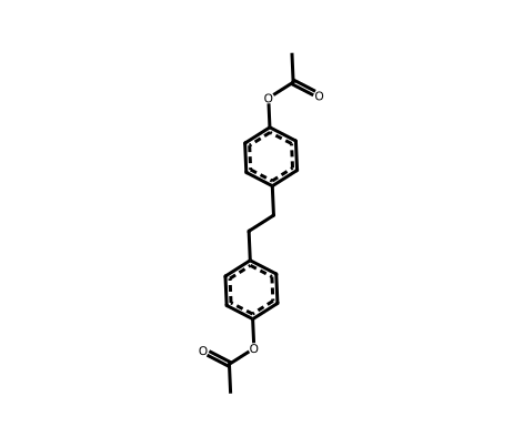 CC(=O)Oc1ccc(CCc2ccc(OC(C)=O)cc2)cc1